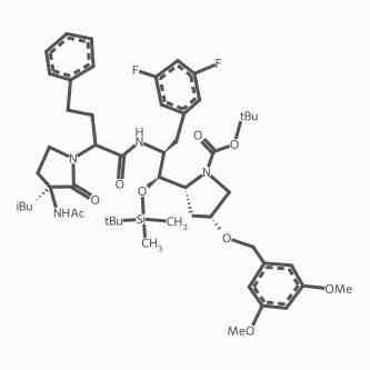 CC[C@@H](C)C1(NC(C)=O)CCN(C(CCc2ccccc2)C(=O)N[C@@H](Cc2cc(F)cc(F)c2)[C@H](O[Si](C)(C)C(C)(C)C)[C@H]2C[C@@H](OCc3cc(OC)cc(OC)c3)CN2C(=O)OC(C)(C)C)C1=O